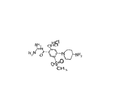 CS(=O)(=O)c1cc(C(=O)N=C(N)N)c(Cl)cc1N1CCC(N)CC1.Cl.Cl